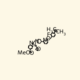 COC(=O)c1ccc2nc(CN3CCC(c4cccc(OCc5ccc(P(C)C)cc5F)n4)CC3)n(CC3CCO3)c2c1